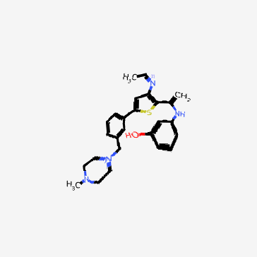 C=C(Nc1cccc(O)c1)c1sc(-c2cccc(CN3CCN(C)CC3)c2)cc1/N=C\C